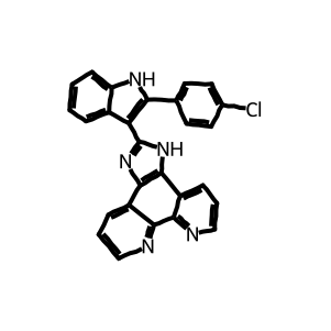 Clc1ccc(-c2[nH]c3ccccc3c2-c2nc3c4cccnc4c4ncccc4c3[nH]2)cc1